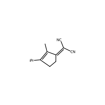 CC1=C(C(C)C)CCC1=C(C#N)C#N